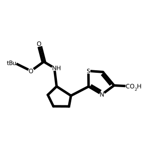 CC(C)(C)OC(=O)NC1CCCC1c1nc(C(=O)O)cs1